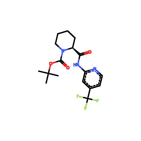 CC(C)(C)OC(=O)N1CCCC[C@H]1C(=O)Nc1cc(C(F)(F)F)ccn1